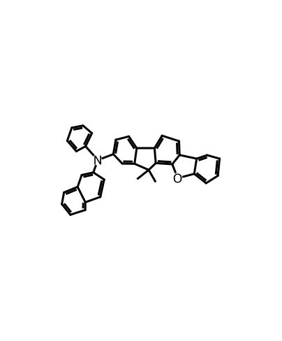 CC1(C)c2cc(N(c3ccccc3)c3ccc4ccccc4c3)ccc2-c2ccc3c(oc4ccccc43)c21